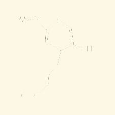 COc1ccc(C)c(CCCC=O)c1